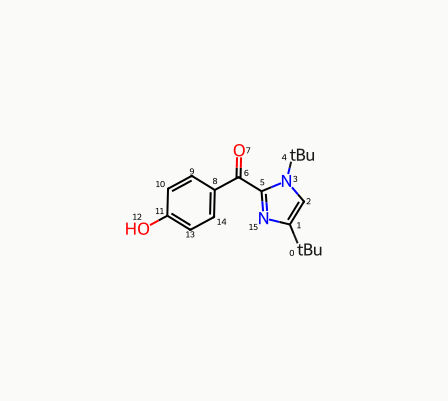 CC(C)(C)c1cn(C(C)(C)C)c(C(=O)c2ccc(O)cc2)n1